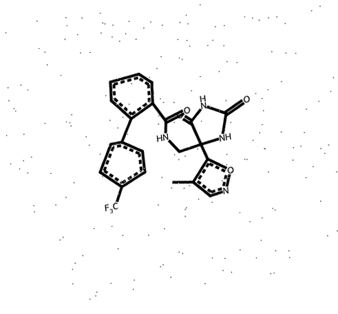 Cc1cnoc1C1(CNC(=O)c2ccccc2-c2ccc(C(F)(F)F)cc2)NC(=O)NC1=O